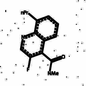 CCCc1cccc2c(C(=O)NC)c(F)cnc12